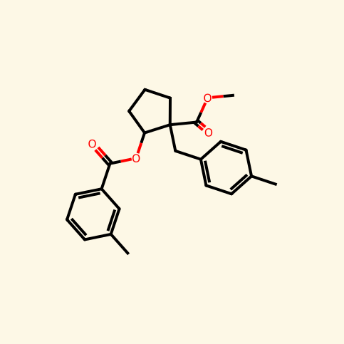 COC(=O)C1(Cc2ccc(C)cc2)CCCC1OC(=O)c1cccc(C)c1